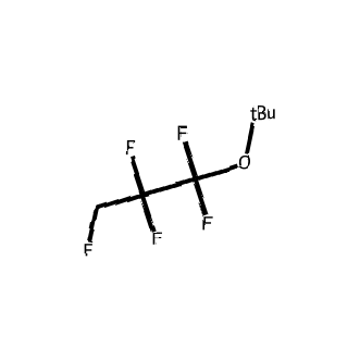 CC(C)(C)OC(F)(F)C(F)(F)CF